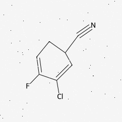 N#CC1C=C(Cl)C(F)=CC1